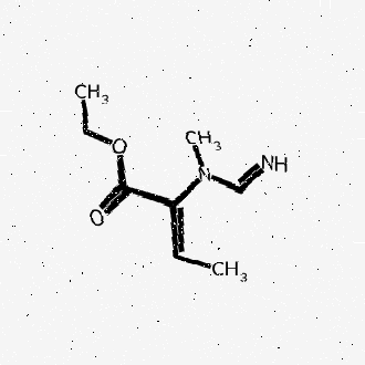 C/C=C(/C(=O)OCC)N(C)C=N